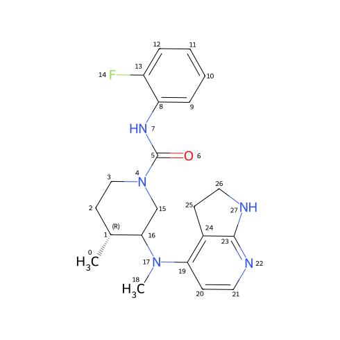 C[C@@H]1CCN(C(=O)Nc2ccccc2F)CC1N(C)c1ccnc2c1CCN2